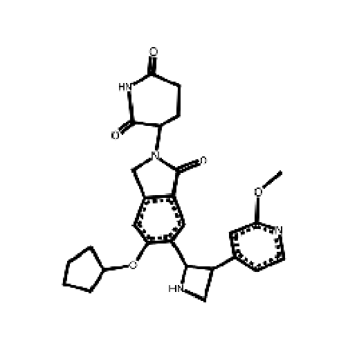 COc1cc(C2CNC2c2cc3c(cc2OC2CCCC2)CN(C2CCC(=O)NC2=O)C3=O)ccn1